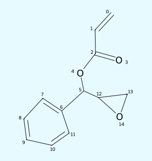 C=CC(=O)OC(c1ccccc1)C1CO1